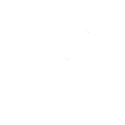 CS(=O)(=O)c1ccccc1NC(=O)C[N+](=O)[O-]